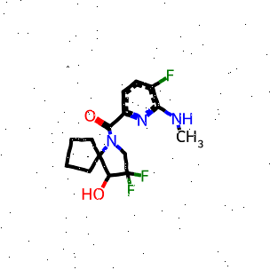 CNc1nc(C(=O)N2CC(F)(F)C(O)C23CCCC3)ccc1F